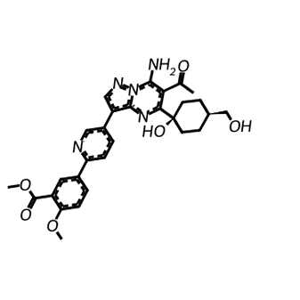 COC(=O)c1cc(-c2ccc(-c3cnn4c(N)c(C(C)=O)c([C@]5(O)CC[C@@H](CO)CC5)nc34)cn2)ccc1OC